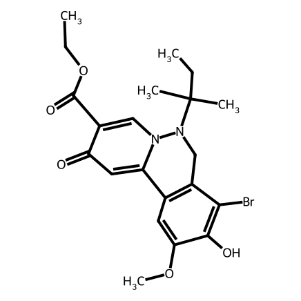 CCOC(=O)c1cn2c(cc1=O)-c1cc(OC)c(O)c(Br)c1CN2C(C)(C)CC